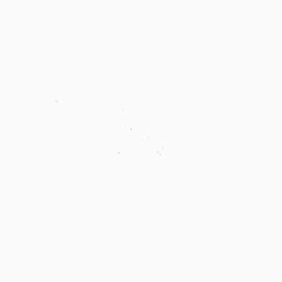 CCCCc1ccc(NC(=O)c2ccc(-c3cccs3)cc2)cc1